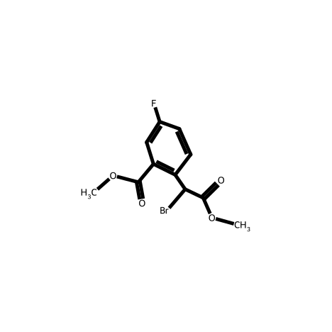 COC(=O)c1cc(F)ccc1C(Br)C(=O)OC